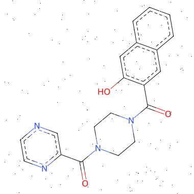 O=C(c1cnccn1)N1CCN(C(=O)c2cc3ccccc3cc2O)CC1